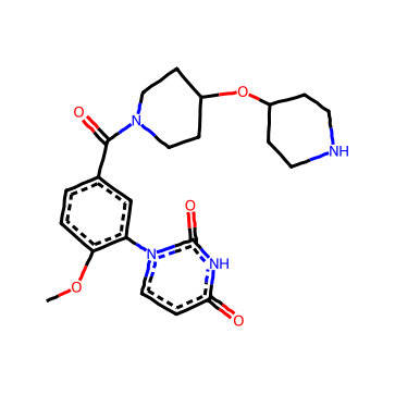 COc1ccc(C(=O)N2CCC(OC3CCNCC3)CC2)cc1-n1ccc(=O)[nH]c1=O